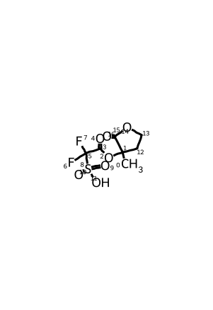 CC1(OC(=O)C(F)(F)S(=O)(=O)O)CCOC1=O